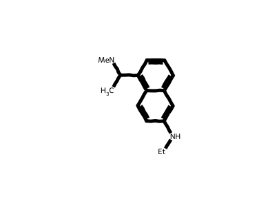 CCNc1ccc2c(C(C)NC)cccc2c1